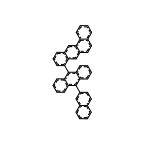 c1ccc2cc(-c3c4ccccc4c(-c4cccc5cc6c(ccc7ccccc76)cc45)c4ccccc34)ccc2c1